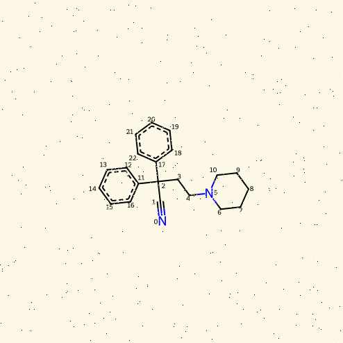 N#CC(CCN1CCCCC1)(c1ccccc1)c1ccccc1